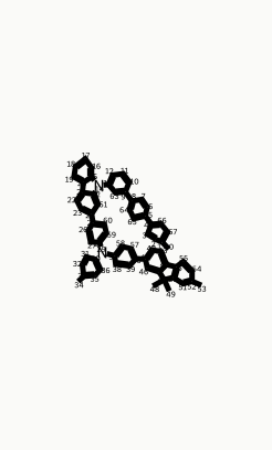 Cc1ccc(-c2ccc(-c3cccc(-n4c5ccccc5c5ccc(-c6ccc(N(c7ccc(C)cc7)c7ccc(-c8ccc9c(c8)C(C)(C)c8cc(C)ccc8-9)cc7)cc6)cc54)c3)cc2)cc1